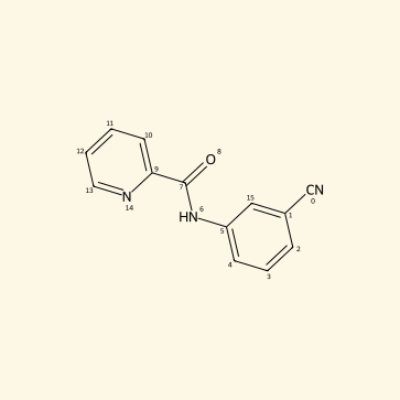 N#Cc1cccc(NC(=O)c2ccccn2)c1